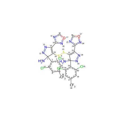 NC1(c2c(Cl)cc(C(F)(F)F)cc2Cl)N=NC(c2ncon2)=C1SSC1=C(c2ncon2)N=NC1(N)c1c(Cl)cc(C(F)(F)F)cc1Cl